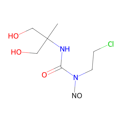 CC(CO)(CO)NC(=O)N(CCCl)N=O